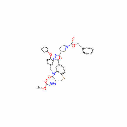 CC(C)(C)OC(=O)N[C@H]1CSc2ccc(-c3nnc(C4CCN(C(=O)OCc5ccccc5)C4)o3)cc2N(Cc2ccc(OC3CCCC3)cc2)C1=O